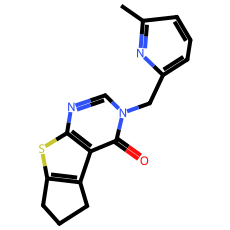 Cc1cccc(Cn2cnc3sc4c(c3c2=O)CCC4)n1